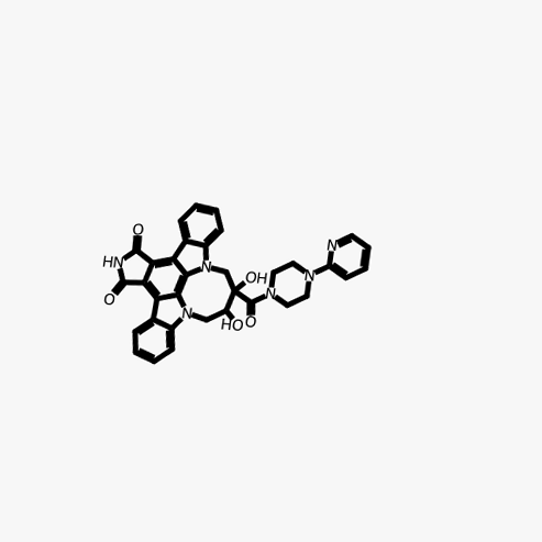 O=C1NC(=O)c2c1c1c3ccccc3n3c1c1c2c2ccccc2n1CC(O)(C(=O)N1CCN(c2ccccn2)CC1)C(O)C3